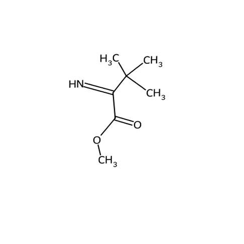 COC(=O)C(=N)C(C)(C)C